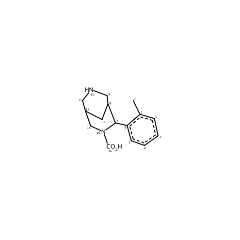 Cc1ccccc1C1C2CNCC(C2)CN1C(=O)O